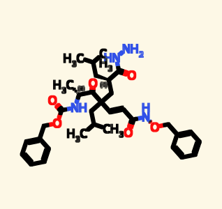 CC(C)C[C@H](CC(C=CC(=O)NOCc1ccccc1)(CC(C)C)C(=O)[C@@H](C)NC(=O)OCc1ccccc1)C(=O)NN